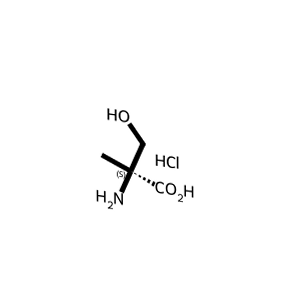 C[C@](N)(CO)C(=O)O.Cl